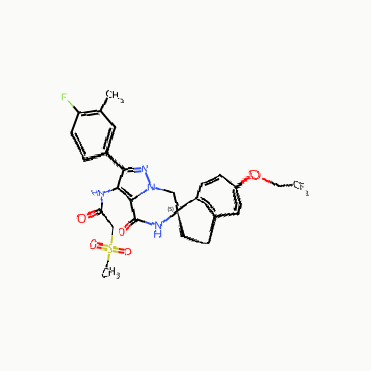 Cc1cc(-c2nn3c(c2NC(=O)CS(C)(=O)=O)C(=O)N[C@]2(CCc4cc(OCC(F)(F)F)ccc42)C3)ccc1F